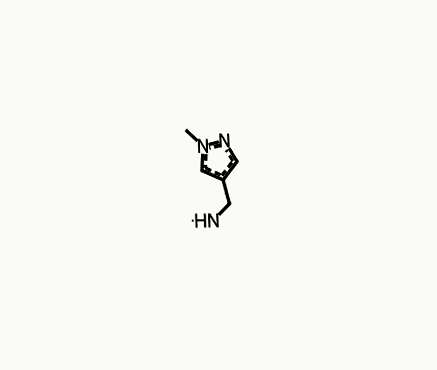 Cn1cc(C[NH])cn1